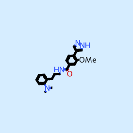 COc1cc(C(=O)NCCCc2ccccc2N(C)C)ccc1-c1cn[nH]c1